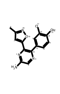 Cc1cc(-c2nc(N)cnc2-c2ccc(O)c(Cl)c2)on1